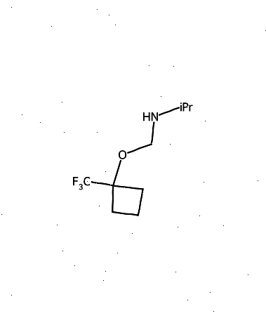 CC(C)NCOC1(C(F)(F)F)CCC1